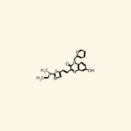 C=CN(C)c1ncc(/C=C/c2nc3cc(O)ccc3n(Cc3ccccn3)c2=O)s1